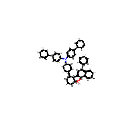 c1ccc(-c2ccc(N(c3ccc(-c4ccccc4)cc3)c3ccc(-c4cccc5oc6c7ccccc7c(-c7ccccc7)cc6c45)cc3)cc2)cc1